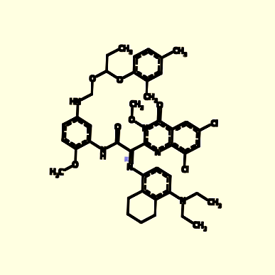 CCC(OCNc1ccc(OC)c(NC(=O)/C(=N/c2ccc(N(CC)CC)c3c2CCCC3)c2nc3c(Cl)cc(Cl)cc3c(=O)n2OC)c1)Oc1ccc(C)cc1C